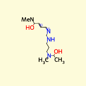 CNC(O)/C=C/C=N\CNCCCN(C)C(C)O